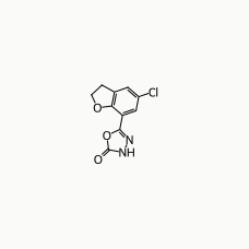 O=c1[nH]nc(-c2cc(Cl)cc3c2OCC3)o1